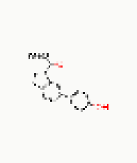 COC(=O)C1CCc2ccc(-c3ccc(O)cc3)cc21